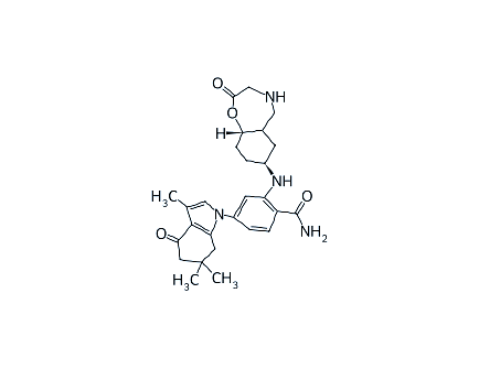 Cc1cn(-c2ccc(C(N)=O)c(N[C@H]3CC[C@@H]4OC(=O)CNCC4C3)c2)c2c1C(=O)CC(C)(C)C2